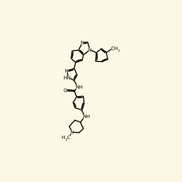 Cc1cccc(-n2cnc3ccc(-c4cc(NC(=O)c5ccc(NC6CCN(C)CC6)cc5)[nH]n4)cc32)c1